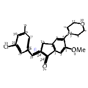 COc1cc2c(cc1N1CCOCC1)C/C(=C\c1cc(C)cc(Cl)c1)C2=O